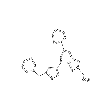 O=C(O)Cc1cn2cc(-c3ccccc3)cc(-c3cnn(Cc4cccnc4)c3)c2n1